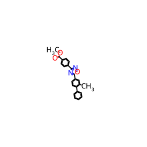 COC(=O)c1ccc(-c2noc(-c3ccc(-c4ccccc4)c(C)c3)n2)cc1